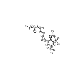 CCOC(=O)/C=C(C)\C=C\C1CC1c1cc(C(C)(C)C)cc(C(C)(C)C)c1OCC